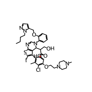 CCCCn1nccc1COc1ccccc1N1C=Nc2sc(I)c(-c3ccc(OCCN4CCN(C)CC4)c(Cl)c3C)c2C1C(CO)C(=O)O